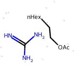 CCCCCCCCOC(C)=O.N=C(N)N